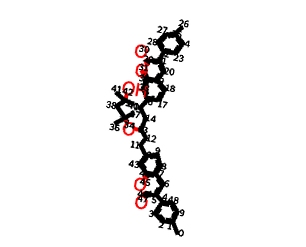 Cc1ccc(-c2cc3ccc(CCC(CCc4ccc5cc(-c6ccc(C)cc6)c(=O)oc5c4)OC(C)(C)CC(C)(C)O)cc3oc2=O)cc1